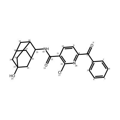 O=C(c1ccccc1)c1ccc(C(=O)NC2C3CC4CC2CC(O)(C4)C3)c(Cl)n1